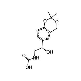 CC1(C)OCc2cc([C@@H](O)CNC(=O)O)ccc2O1